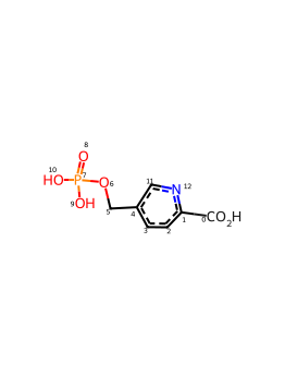 O=C(O)c1ccc(COP(=O)(O)O)cn1